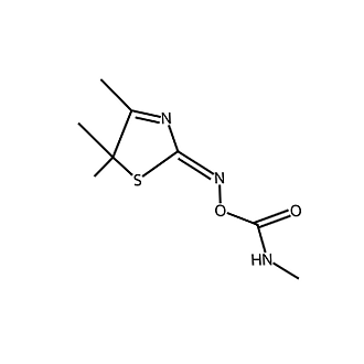 CNC(=O)ON=C1N=C(C)C(C)(C)S1